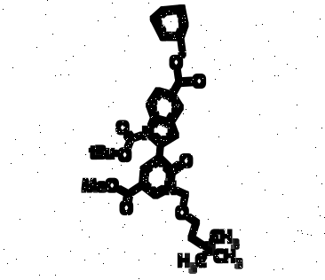 COC(=O)c1cc(-c2cc3cc(C(=O)OCc4ccccc4)ccc3n2C(=O)OC(C)(C)C)c(=O)n(COCC[Si](C)(C)C)c1